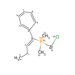 CCC=C(c1ccccc1)[PH](C)(C)[Zr][Cl]